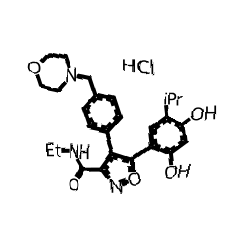 CCNC(=O)c1noc(-c2cc(C(C)C)c(O)cc2O)c1-c1ccc(CN2CCOCC2)cc1.Cl